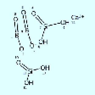 O=B[O-].O=B[O-].O=[Si](O)O.O=[Si](O)O.[Ca+2]